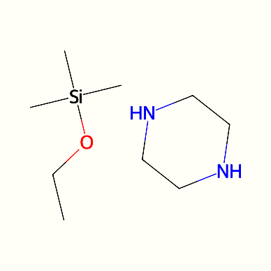 C1CNCCN1.CCO[Si](C)(C)C